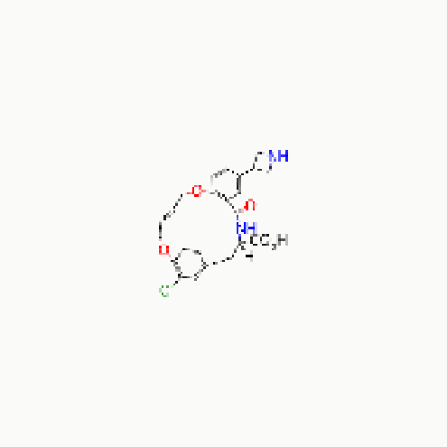 O=C1N[C@H](C(=O)O)Cc2ccc(c(Cl)c2)OC/C=C/COc2ccc(C3CNC3)cc21